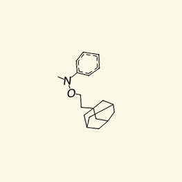 CN(OCCC12CC3CC(CC(C3)C1)C2)c1ccccc1